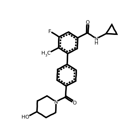 Cc1c(F)cc(C(=O)NC2CC2)cc1-c1ccc(C(=O)N2CCC(O)CC2)cc1